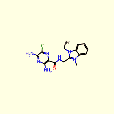 CC(C)Cn1c(CNC(=O)c2nc(Cl)c(N)nc2N)[n+](C)c2ccccc21